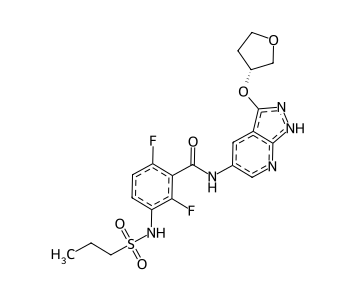 CCCS(=O)(=O)Nc1ccc(F)c(C(=O)Nc2cnc3[nH]nc(O[C@@H]4CCOC4)c3c2)c1F